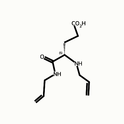 C=CCNC(=O)[C@H](CCC(=O)O)NCC=C